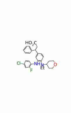 CCN(c1ccc(C(CC(=O)O)c2ccccc2)cc1Nc1ccc(Cl)cc1F)C1CCOCC1